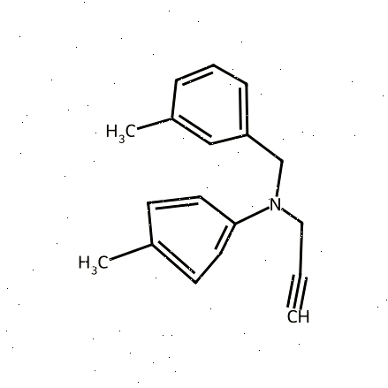 C#CCN(Cc1cccc(C)c1)c1ccc(C)cc1